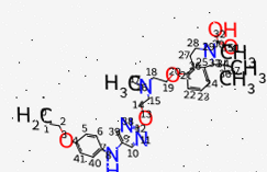 C=CCOc1ccc(Nc2cnc(OCCN(C)CCOc3cccc4c3CCN(C(=O)O)C4C(C)(C)C)nc2)cc1